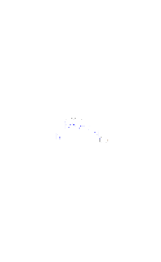 c1csc(N2CCN(c3ccc4ccn(CCN5CCCC5)c4n3)CC2)c1